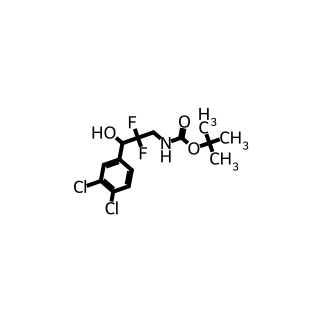 CC(C)(C)OC(=O)NCC(F)(F)C(O)c1ccc(Cl)c(Cl)c1